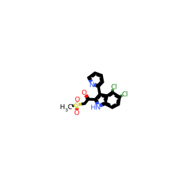 CS(=O)(=O)CC(=O)c1[nH]c2ccc(Cl)c(Cl)c2c1-c1ccccn1